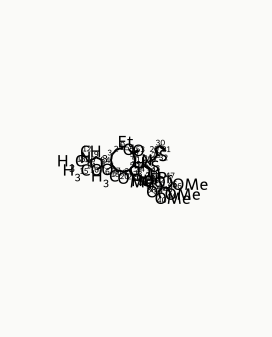 CC[C@H]1CCC[C@H](O[C@H]2CC[C@H](N(C)C)C(C)O2)[C@@H](C)C(=O)C2=C[C@@H]3C(c4nc(-c5cccs5)sc4[C@@H]4C[C@@H](OC(OC)C(OC)C(OC)C(OC)C(C)C)C[C@@H]34)[C@@H]2CC(=O)O1